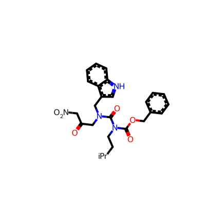 CC(C)CCN(C(=O)OCc1ccccc1)C(=O)N(CC(=O)C[N+](=O)[O-])Cc1c[nH]c2ccccc12